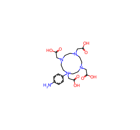 Nc1ccc([N+]2(CC(=O)O)CCN(CC(=O)O)CCN(CC(=O)O)CCN(CC(=O)O)CC2)cc1